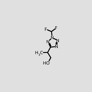 C[C](CO)c1nnn(C(F)F)n1